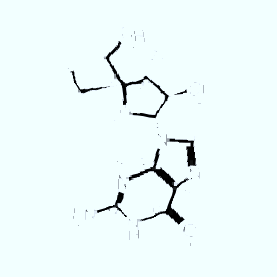 CC[C@]1(CO)O[C@@H](n2cnc3c(=O)[nH]c(N)nc32)[C@H](O)[C@H]1C